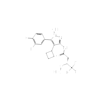 CO[C@@H](CC(=O)Nc1nn(C)c(-c2ccc(F)c(F)c2)c1C1CCC1)C(F)(F)F